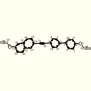 CCCCOc1ccc(-c2ccc(C#Cc3ccc4cc(OCCCC)ccc4c3)cc2)cc1